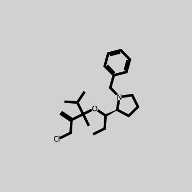 C=C(CCl)C(C)(OC(CC)[C@@H]1CCCN1Cc1ccccc1)C(C)C